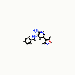 Cc1noc(C)c1-c1cnc(N)c(NCc2ccccc2)c1